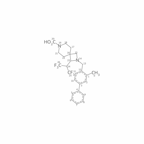 Cc1cc(-c2ccccc2)ccc1CN1CC2(CCN(C(=O)O)CC2)C1C(C(F)(F)F)C(F)(F)F